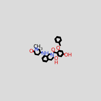 CN1CC(Nc2cccc3c2CN(C(=O)c2c(O)cc(O)cc2OCc2ccccc2)CC3)CCC1=O